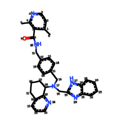 Cc1ccnc(C)c1C(=O)NCc1ccc(CN(Cc2nc3ccccc3[nH]2)C2CCCc3cccnc32)cc1